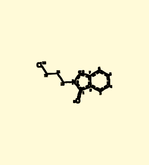 O=c1c2ccccc2sn1CCCCl